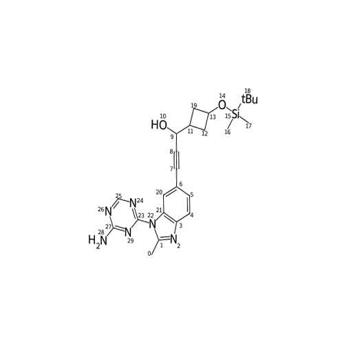 Cc1nc2ccc(C#CC(O)C3CC(O[Si](C)(C)C(C)(C)C)C3)cc2n1-c1ncnc(N)n1